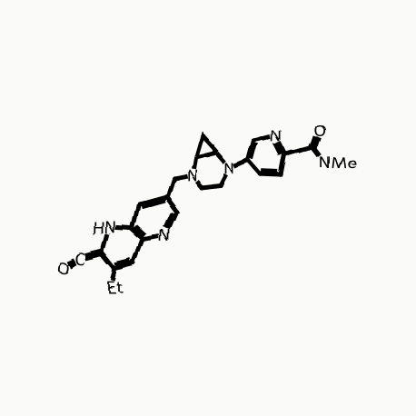 CCC1=Cc2ncc(CN3CCN(c4ccc(C(=O)NC)nc4)C4CC43)cc2NC1=C=O